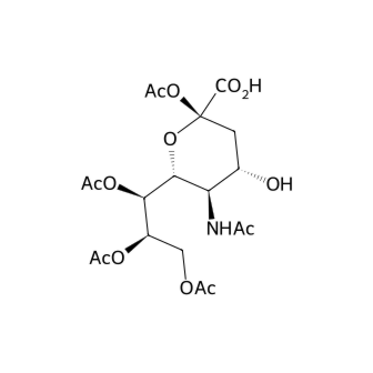 CC(=O)N[C@H]1[C@H]([C@H](OC(C)=O)[C@@H](COC(C)=O)OC(C)=O)O[C@](OC(C)=O)(C(=O)O)C[C@@H]1O